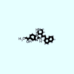 CCC(O)c1ccc2[nH]c(NC(Cc3cccc4ccccc34)C3CCNCC3)nc2c1